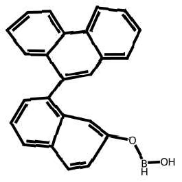 OBOc1ccc2cccc(-c3cc4ccccc4c4ccccc34)c2c1